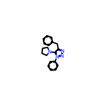 c1ccc(Cc2nnn(-c3ccccc3)c2N2CCCC2)cc1